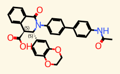 CC(=O)Nc1ccc(-c2ccc(N3C(=O)c4ccccc4[C@H](C(=O)O)[C@H]3c3ccc4c(c3)OCCO4)cc2)cc1